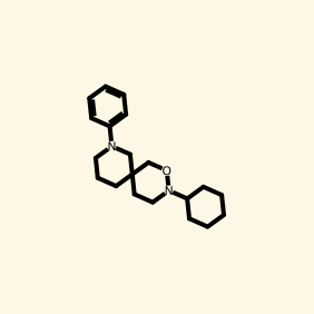 c1ccc(N2CCCC3(CCN(C4CCCCC4)OC3)C2)cc1